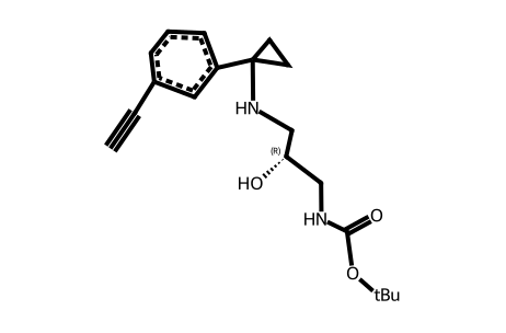 C#Cc1cccc(C2(NC[C@@H](O)CNC(=O)OC(C)(C)C)CC2)c1